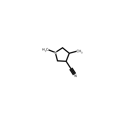 CC1CN(C)CC1C#N